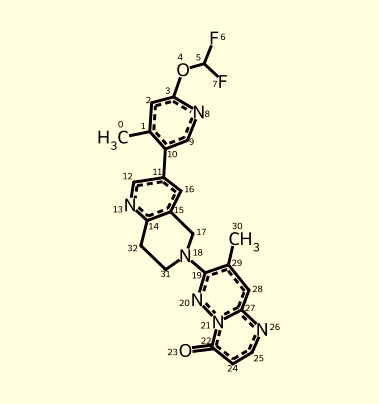 Cc1cc(OC(F)F)ncc1-c1cnc2c(c1)CN(c1nn3c(=O)ccnc3cc1C)CC2